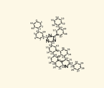 c1ccc(-c2cccc(-c3nc(-c4ccc(-c5ccc6ccc7nc(-c8ccccc8)cc(-c8ccccc8)c7c6c5)cc4)nc(-c4cccc(-c5ccccc5)c4)n3)c2)cc1